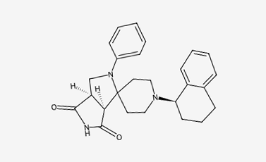 O=C1NC(=O)[C@H]2[C@@H]1CN(c1ccccc1)C21CCN([C@@H]2CCCc3ccccc32)CC1